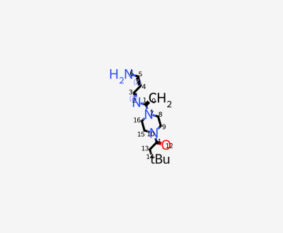 C=C(/N=C\C=C/N)N1CCN(C(=O)CC(C)(C)C)CC1